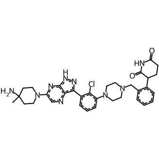 CC1(N)CCN(c2cnc3c(-c4cccc(N5CCN(Cc6ccccc6C6CCC(=O)NC6=O)CC5)c4Cl)n[nH]c3n2)CC1